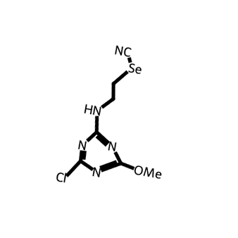 COc1nc(Cl)nc(NCC[Se]C#N)n1